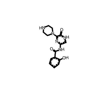 O=C(Nc1c[nH]c(=O)c(N2CCNCC2)n1)c1ccccc1O